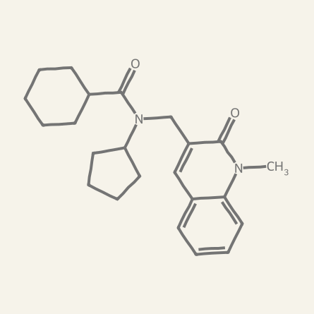 Cn1c(=O)c(CN(C(=O)C2CCCCC2)C2CCCC2)cc2ccccc21